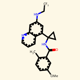 COc1ccc(C)c(C(=O)NC2(c3cc(NCC(F)(F)F)cc4ncccc34)CC2)c1